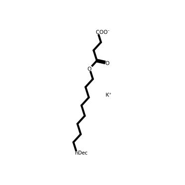 CCCCCCCCCCCCCCCCCCOC(=O)CCC(=O)[O-].[K+]